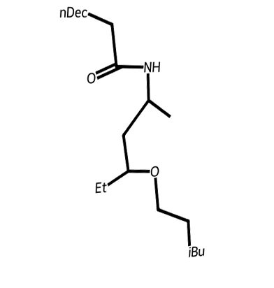 CCCCCCCCCCCC(=O)NC(C)CC(CC)OCCC(C)CC